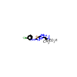 CC(NC(=O)O)c1nnc2sc(Nc3cccc(Cl)c3)nn12